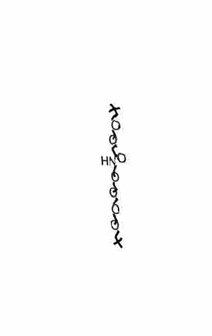 CC(C)(C)CCOCCOCCOCCOCCNC(=O)CCOCCOCCC(C)(C)C